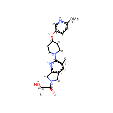 COc1ccc(OC2CCN(c3nc4c(cc3C)CN(C(=O)[C@H](C)O)C4)CC2)cn1